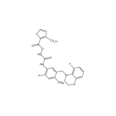 COc1cc(F)c(NC(=O)NOC(=O)c2sccc2C(=O)O)cc1CN1CCOc2cccc(F)c21